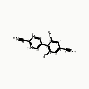 N#Cc1cc(F)c(-c2cnc(C#N)nc2)c(F)c1